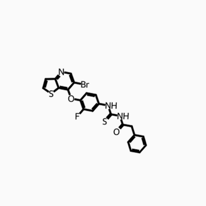 O=C(Cc1ccccc1)NC(=S)Nc1ccc(Oc2c(Br)cnc3ccsc23)c(F)c1